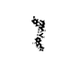 O=C(CNC(=O)c1cc2cccnc2n(Cc2ccc(F)c(F)c2)c1=O)Nc1ccc2c(c1)C(=Cc1cnc[nH]1)C(=O)N2